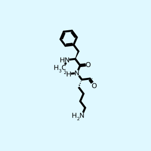 [2H]N(C(=O)[C@H](Cc1ccccc1)NC)[C@H]([C]=O)CCCCN